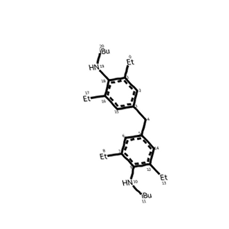 CCc1cc(Cc2cc(CC)c(NC(C)CC)c(CC)c2)cc(CC)c1NC(C)CC